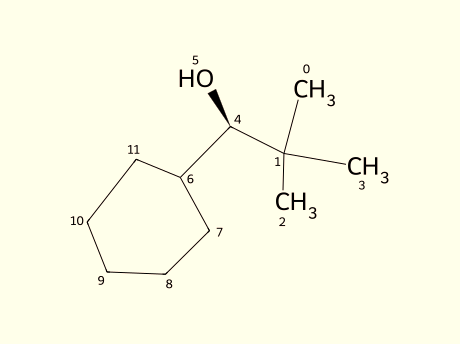 CC(C)(C)[C@H](O)C1CCCCC1